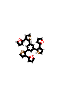 c1coc(-c2ccsc2-c2cc(-c3sccc3-c3ccco3)cc(-c3sccc3-c3ccco3)c2)c1